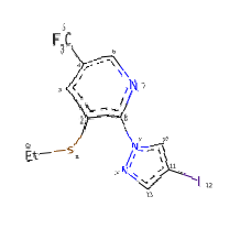 CCSc1cc(C(F)(F)F)cnc1-n1cc(I)cn1